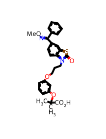 CON=C(c1ccccc1)c1ccc2c(c1)sc(=O)n2CCCOc1cccc(OC(C)(C)C(=O)O)c1